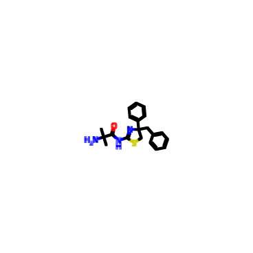 CC(C)(N)C(=O)NC1=NC(Cc2ccccc2)(c2ccccc2)CS1